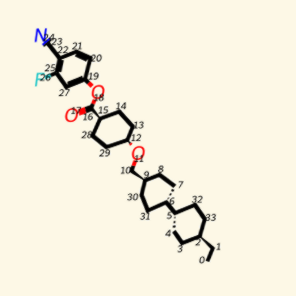 CC[C@H]1CC[C@H]([C@H]2CC[C@H](CO[C@H]3CC[C@H](C(=O)Oc4ccc(C#N)c(F)c4)CC3)CC2)CC1